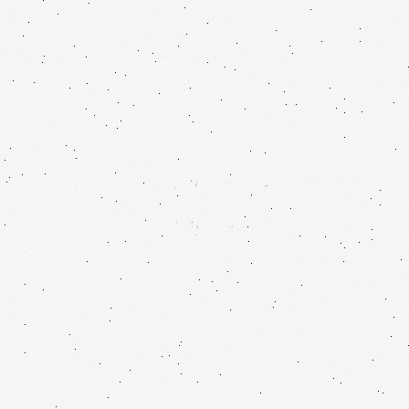 O=c1sc2nc3c(nc2s1)=CC1C2C=CC(C2)C1C=3